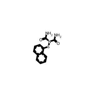 NC(=O)N(Sc1cccc2ccccc12)C(N)=O